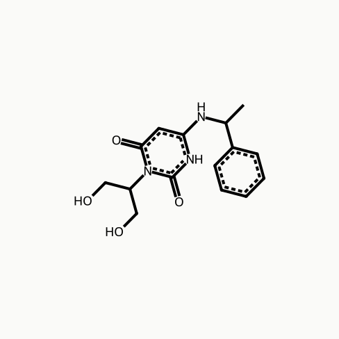 CC(Nc1cc(=O)n(C(CO)CO)c(=O)[nH]1)c1ccccc1